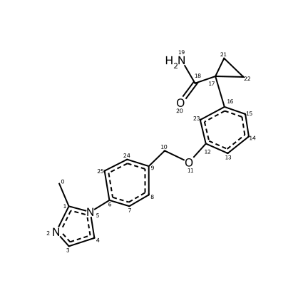 Cc1nccn1-c1ccc(COc2cccc(C3(C(N)=O)CC3)c2)cc1